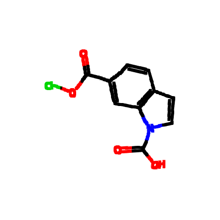 O=C(OCl)c1ccc2ccn(C(=O)O)c2c1